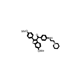 COc1ccc(-c2sc3cc(OC)ccc3c2C(=O)c2ccc(NCCN3CCCCC3)cc2)cc1